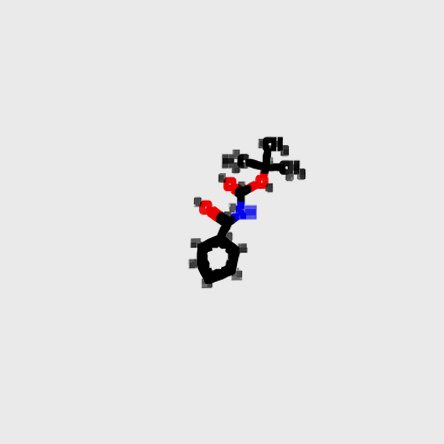 CC(C)(C)OC(=O)NC(=O)c1c[c]ccc1